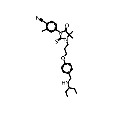 CCC(CC)NCc1ccc(OCCCN2C(=S)N(c3ccc(C#N)c(C)c3)C(=O)C2(C)C)cc1